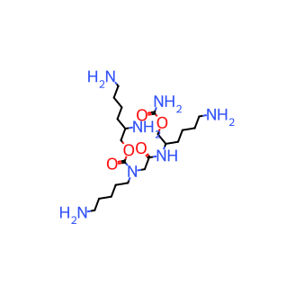 NCCCCCN(CC(=O)NC(CCCCN)COC(N)=O)C(=O)OCC(N)CCCCN